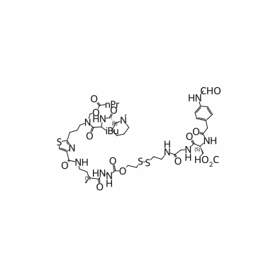 CCCC(=O)OCN(CCCc1nc(C(=O)NCC[C@H](C)C(=O)NNC(=O)OCCSSCCNC(=O)CNC(=O)[C@H](CC(=O)O)NC(=O)Cc2ccc(NC=O)cc2)cs1)C(=O)C(NC(=O)[C@H]1CCCCN1C)C(C)CC